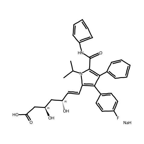 CC(C)n1c(C=C[C@H](O)C[C@@H](O)CC(=O)O)c(-c2ccc(F)cc2)c(-c2ccccc2)c1C(=O)Nc1ccccc1.[NaH]